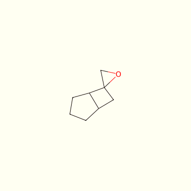 C1CC2CC3(CO3)C2C1